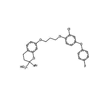 CCCC1(C(=O)O)CCc2ccc(OCCCOc3ccc(Oc4ccc(F)cc4)cc3Cl)cc2O1